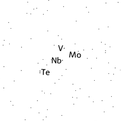 [Mo].[Nb].[Te].[V]